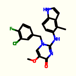 COc1cn(Cc2ccc(F)c(Cl)c2)c(Nc2ccc3[nH]ccc3c2C)nc1=O